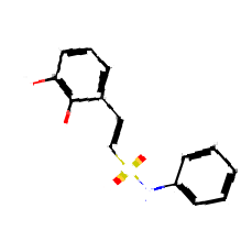 O=S(=O)(/C=C/c1cccc(O)c1O)Nc1ccccc1